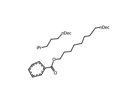 CCCCCCCCCCCCCC(C)C.CCCCCCCCCCCCCCCCCCOC(=O)c1ccccc1